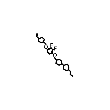 C=CC1CCC(COc2ccc(OCC3CCC(C4CCC(CCC)CC4)CC3)c(F)c2F)CC1